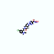 C=CN(C)c1ccc(Cl)cc1CCN(CC1CCN(c2ncc(C(=O)NO)cn2)CC1)C(=O)CC